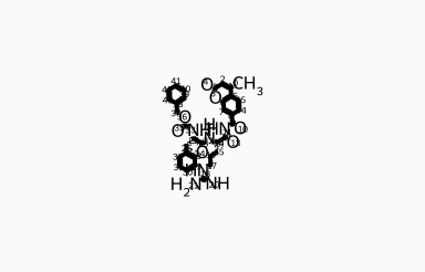 Cc1cc(=O)oc2cc(C(=O)NC(=O)[C@H](CCCNC(=N)N)NC(=O)[C@H](Cc3ccccc3)NC(=O)OCc3ccccc3)ccc12